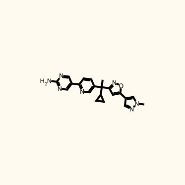 Cn1cc(-c2cc(C(C)(c3ccc(-c4cnc(N)nc4)nc3)C3CC3)no2)cn1